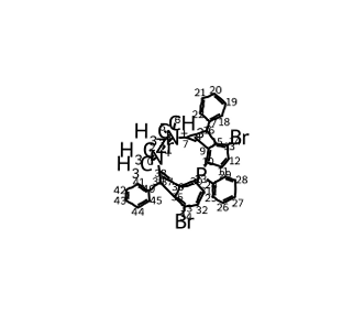 C[N+]1(C)[Zr][N+](C)(C)C2=Cc3c(ccc(Br)c3C2c2ccccc2)P(c2ccccc2)c2ccc(Br)c3c2C=C1C3c1ccccc1